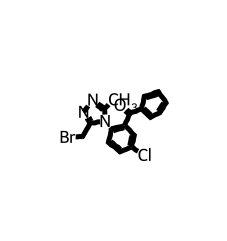 Cc1nnc(CBr)n1-c1ccc(Cl)cc1C(=O)c1ccccc1